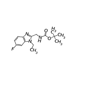 CCn1c(CNC(=O)OC(C)(C)C)nc2ccc(F)cc21